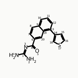 NC(N)=NC(=O)c1ccc2cccc(-c3ccsc3)c2c1